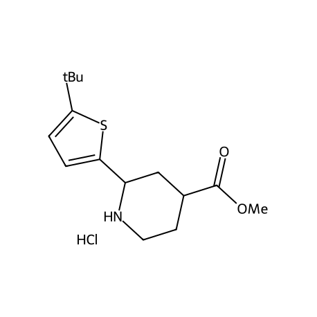 COC(=O)C1CCNC(c2ccc(C(C)(C)C)s2)C1.Cl